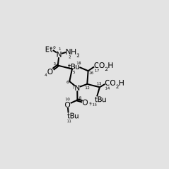 CCN(N)C(=O)CCN(C(=O)OC(C)(C)C)C(C(C(=O)O)C(C)(C)C)C(C(=O)O)C(C)(C)C